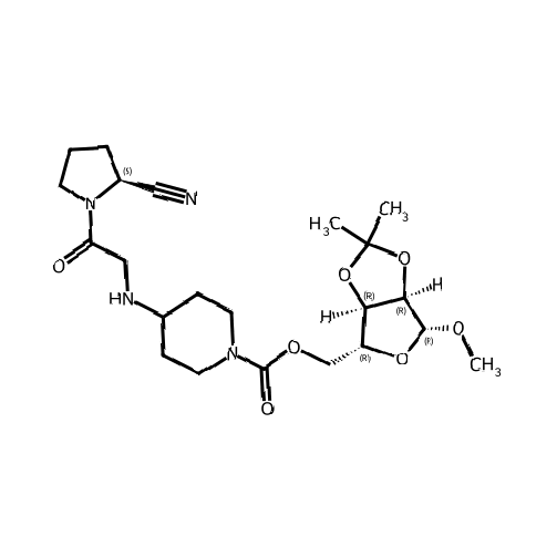 CO[C@@H]1O[C@H](COC(=O)N2CCC(NCC(=O)N3CCC[C@H]3C#N)CC2)[C@H]2OC(C)(C)O[C@@H]12